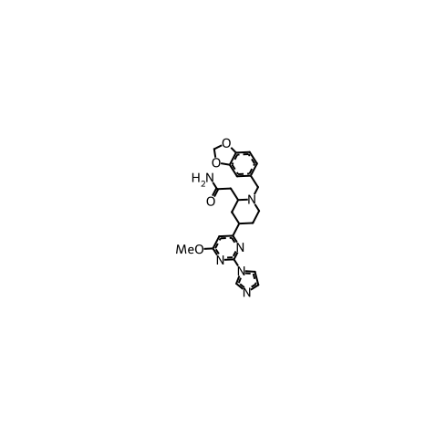 COc1cc(C2CCN(Cc3ccc4c(c3)OCO4)C(CC(N)=O)C2)nc(-n2ccnc2)n1